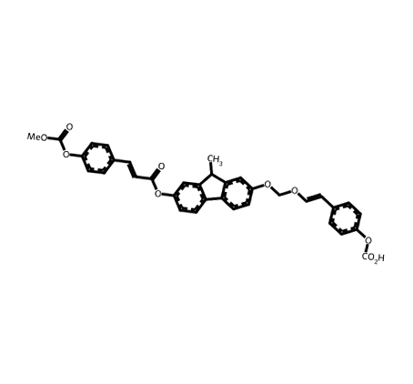 COC(=O)Oc1ccc(C=CC(=O)Oc2ccc3c(c2)C(C)c2cc(OCOC=Cc4ccc(OC(=O)O)cc4)ccc2-3)cc1